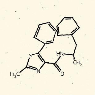 [CH2][C@H](Cc1ccccc1)NC(=O)c1nc(C)sc1-c1ccccc1